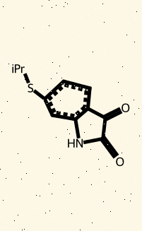 CC(C)Sc1ccc2c(c1)NC(=O)C2=O